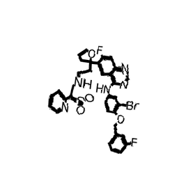 O=S(=O)=C(CNCCC1(c2cc3c(Nc4ccc(OCc5cccc(F)c5)c(Br)c4)ncnc3cc2F)CC=CO1)c1ccccn1